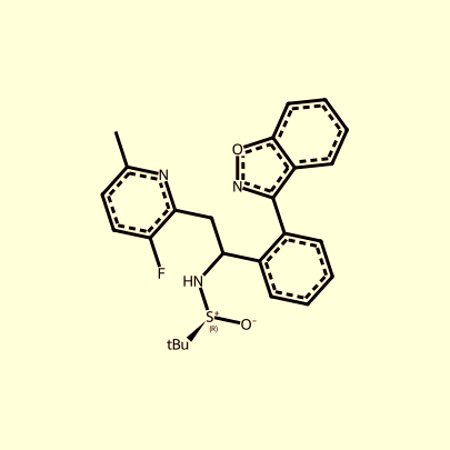 Cc1ccc(F)c(CC(N[S@@+]([O-])C(C)(C)C)c2ccccc2-c2noc3ccccc23)n1